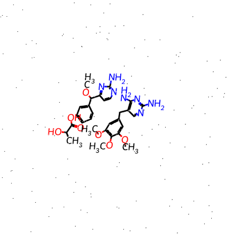 CC(O)C(=O)O.COC(c1ccccc1)c1ccnc(N)n1.COc1cc(Cc2cnc(N)nc2N)cc(OC)c1OC